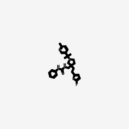 Cc1ccc(C(C)(C)N2CCC(CCc3ccc(F)s3)(CNC(=O)Nc3ccccc3)C2)cn1